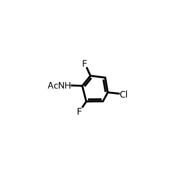 CC(=O)Nc1c(F)cc(Cl)cc1F